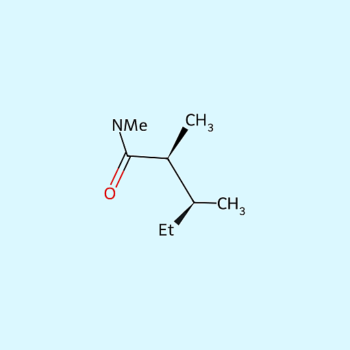 CC[C@H](C)[C@H](C)C(=O)NC